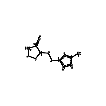 CCc1cn(CCN2CCNC2=O)nn1